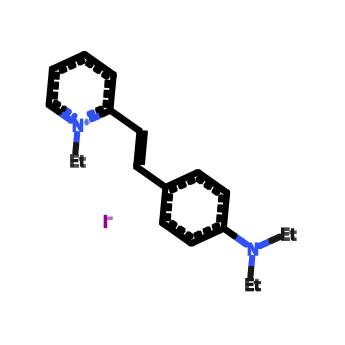 CCN(CC)c1ccc(/C=C/c2cccc[n+]2CC)cc1.[I-]